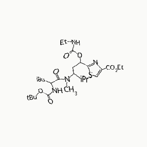 CCNC(=O)OC(CC(C(C)C)N(C)C(=O)C(NC(=O)OC(C)(C)C)C(C)CC)c1nc(C(=O)OCC)cs1